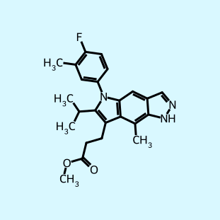 COC(=O)CCc1c(C(C)C)n(-c2ccc(F)c(C)c2)c2cc3cn[nH]c3c(C)c12